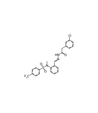 CN(c1ccccc1C=NNC(=O)Cc1cccc(Cl)c1)S(=O)(=O)c1ccc(C(F)(F)F)cc1